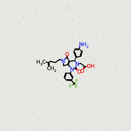 C=C(C)CCCN1CC2=C(C1=O)[C@@H](c1ccc(N)cc1)N(CC(=O)O)C(=O)N2c1cccc(C(F)(F)F)c1